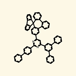 c1ccc(-c2ccc(-c3nc(-c4cc(-c5ccccc5)cc(-c5ccccc5)c4)cc(-c4ccc5c(c4)-c4ccccc4-c4ccccc4C54c5ccccc5-c5ccccc54)n3)cc2)cc1